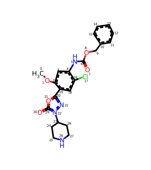 COc1cc(NC(=O)OCc2ccccc2)c(Cl)cc1-c1nn(C2CCNCC2)c(=O)o1